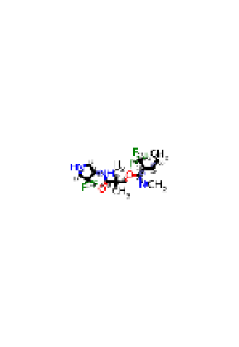 C=N/C(OCC(C)(C)C(=O)NC1CNCC1(F)F)=C(\C=C/C)C(F)(F)F